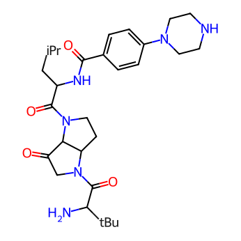 CC(C)CC(NC(=O)c1ccc(N2CCNCC2)cc1)C(=O)N1CCC2C1C(=O)CN2C(=O)C(N)C(C)(C)C